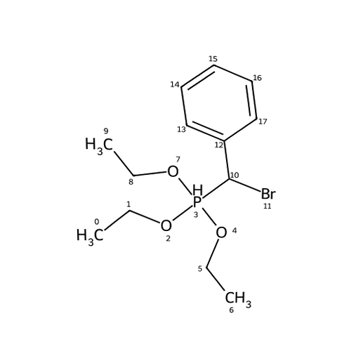 CCO[PH](OCC)(OCC)C(Br)c1ccccc1